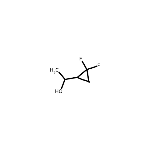 CC(O)C1CC1(F)F